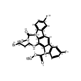 CC(C)(C)OC(=O)n1c2ccc(F)cc2c2cc3c4cc(F)ccc4n(C(=O)OC(C)(C)C)c3c(OCCCBr)c21